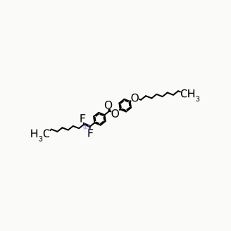 CCCCCCCCCOc1ccc(OC(=O)c2ccc(/C(F)=C(\F)CCCCCCC)cc2)cc1